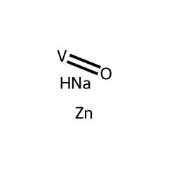 [NaH].[O]=[V].[Zn]